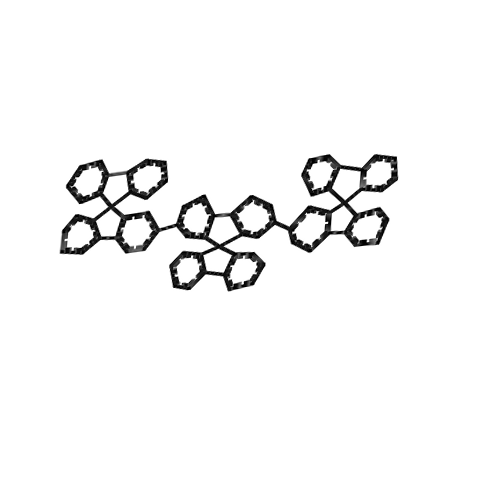 c1ccc2c(c1)-c1ccccc1C21c2ccccc2-c2ccc(-c3ccc4c(c3)C3(c5ccccc5-c5ccccc53)c3cc(-c5ccc6c(c5)C5(c7ccccc7-c7ccccc75)c5ccccc5-6)ccc3-4)cc21